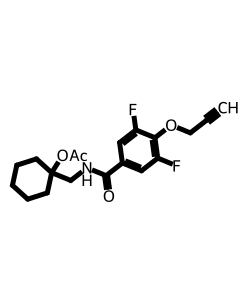 C#CCOc1c(F)cc(C(=O)NCC2(OC(C)=O)CCCCC2)cc1F